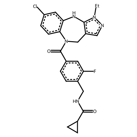 CCn1ncc2c1Nc1cc(Cl)ccc1N(C(=O)c1ccc(CNC(=O)C3CC3)c(F)c1)C2